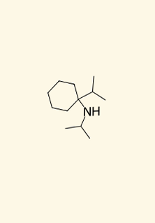 CC(C)NC1(C(C)C)CCCCC1